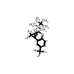 CC(C)(C)[Si](C)(C)OCC12c3cc(C(F)(F)F)ccc3OCC1C2(F)F